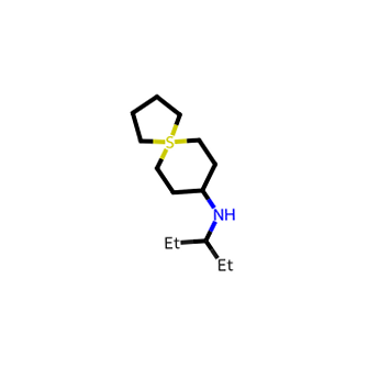 CCC(CC)NC1CCS2(CCCC2)CC1